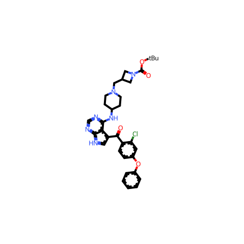 CC(C)(C)OC(=O)N1CC(CN2CCC(Nc3ncnc4[nH]cc(C(=O)c5ccc(Oc6ccccc6)cc5Cl)c34)CC2)C1